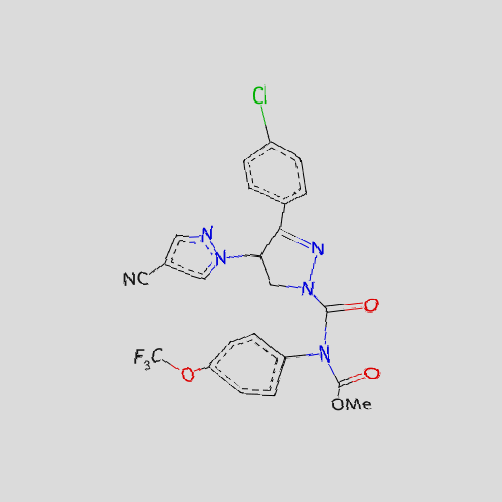 COC(=O)N(C(=O)N1CC(n2cc(C#N)cn2)C(c2ccc(Cl)cc2)=N1)c1ccc(OC(F)(F)F)cc1